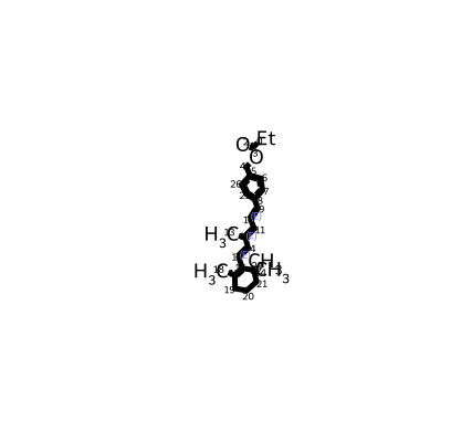 CCC(=O)OCc1ccc(/C=C/C=C(C)/C=C/C2=C(C)CCCC2(C)C)cc1